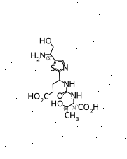 C[C@H](O)[C@H](NC(=O)NC(CCC(=O)O)c1ncc([C@@H](N)CO)s1)C(=O)O